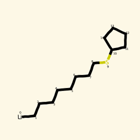 [Li][CH2]CCCCCCCSC1CCCC1